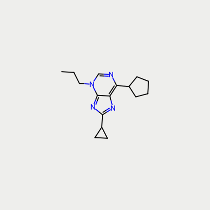 CCCn1cnc(C2CCCC2)c2nc(C3CC3)nc1-2